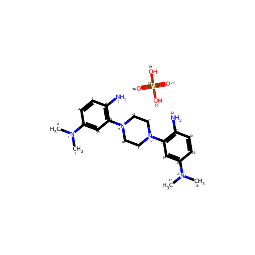 CN(C)c1ccc(N)c(N2CCN(c3cc(N(C)C)ccc3N)CC2)c1.O=S(=O)(O)O